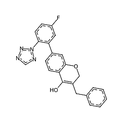 OC1=C(Cc2ccccc2)COc2cc(-c3cc(F)ccc3-n3ncnn3)ccc21